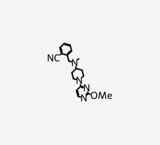 COc1nccc(N2CCC(N(C)Cc3ccccc3C#N)CC2)n1